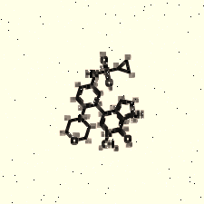 Cn1cc(-c2cc(NS(=O)(=O)C3CC3)ccc2N2CCOCC2)c2cc[nH]c2c1=O